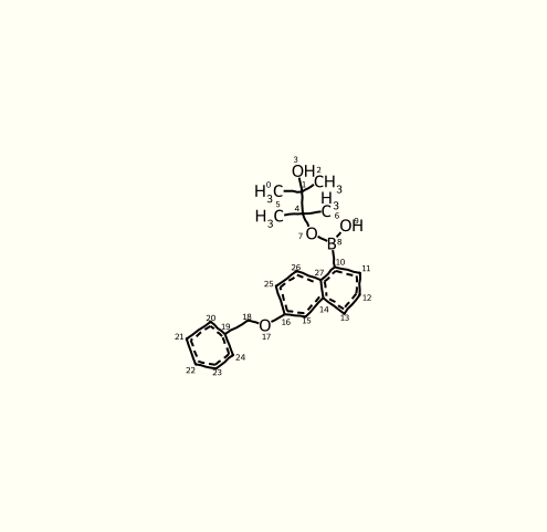 CC(C)(O)C(C)(C)OB(O)c1cccc2cc(OCc3ccccc3)ccc12